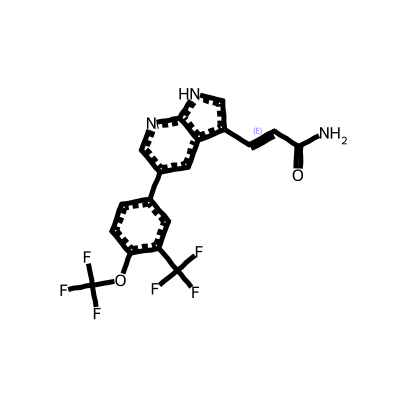 NC(=O)/C=C/c1c[nH]c2ncc(-c3ccc(OC(F)(F)F)c(C(F)(F)F)c3)cc12